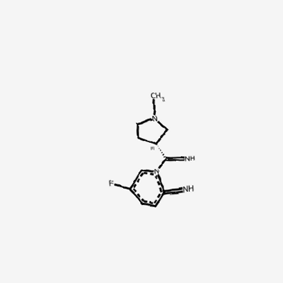 CN1CC[C@@H](C(=N)n2cc(F)ccc2=N)C1